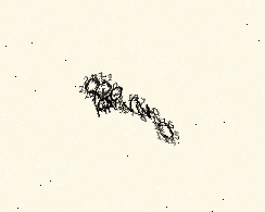 O=S(=O)(NCCN1CCN(Cc2ccccc2)CC1)c1ccc2ccccc2n1